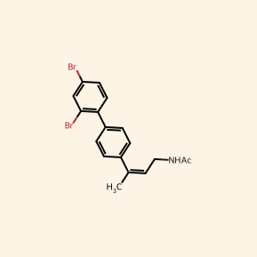 CC(=O)NC/C=C(/C)c1ccc(-c2ccc(Br)cc2Br)cc1